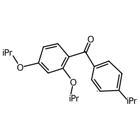 CC(C)Oc1ccc(C(=O)c2c[c]c(C(C)C)cc2)c(OC(C)C)c1